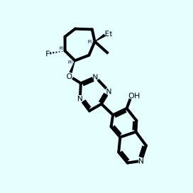 CC[C@]1(C)CCC[C@@H](F)[C@H](Oc2ncc(-c3cc4ccncc4cc3O)nn2)C1